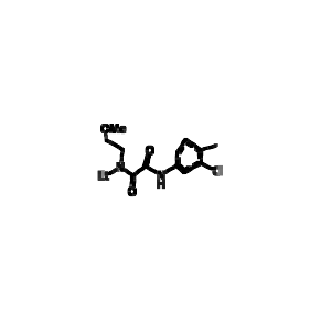 CCN(CCOC)C(=O)C(=O)Nc1ccc(C)c(Cl)c1